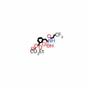 CCOC(=O)OCOC(=O)c1cccc2c1OB(O)[C@@H](NC(=O)CCC(F)(F)F)C2